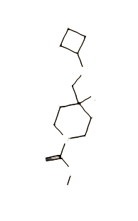 CC(C)(C)OC(=O)N1CCC(O)(CSC2CCC2)CC1